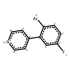 CC(=O)c1ccc(F)cc1-c1ccncc1